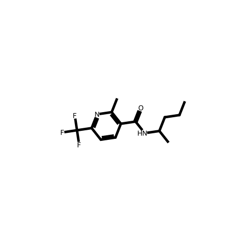 CCCC(C)NC(=O)c1ccc(C(F)(F)F)nc1C